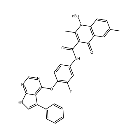 CCCCn1c(C)c(C(=O)Nc2ccc(Oc3ncnc4[nH]cc(-c5ccccc5)c34)c(F)c2)c(=O)c2cc(C)ccc21